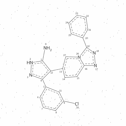 Nc1[nH]nc(-c2cccc(Cl)c2)c1-c1ccc2nnc(-c3ccccc3)n2c1